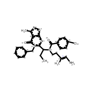 CCC(c1nc2snc(C)c2c(=O)n1Cc1ccccc1)N(CC/C(C)=C/N)C(=O)c1ccc(Cl)cc1